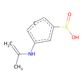 C=C(C)Nc1cccc(S(=O)O)c1